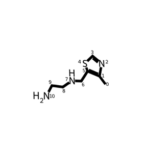 Cc1ncsc1CNCCN